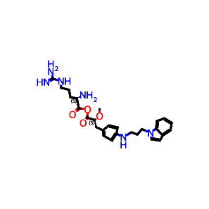 CO[C@@H](Cc1ccc(NCCCn2ccc3ccccc32)cc1)C(=O)OC(=O)[C@@H](N)CCCNC(=N)N